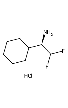 Cl.N[C@@H](C(F)F)C1CCCCC1